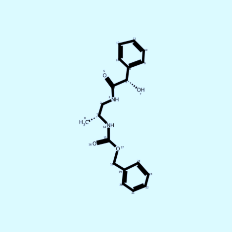 C[C@H](CNC(=O)[C@@H](O)c1ccccc1)NC(=O)OCc1ccccc1